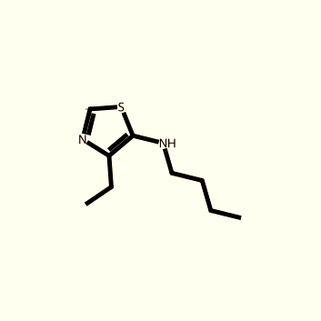 CCCCNc1s[c]nc1CC